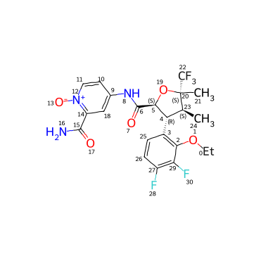 CCOc1c([C@@H]2[C@@H](C(=O)Nc3cc[n+]([O-])c(C(N)=O)c3)O[C@](C)(C(F)(F)F)[C@H]2C)ccc(F)c1F